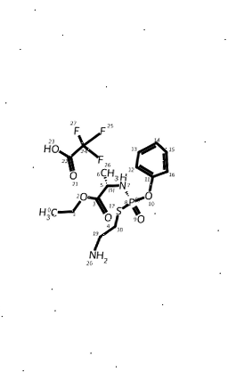 CCOC(=O)[C@H](C)N[P@@](=O)(Oc1ccccc1)SCCN.O=C(O)C(F)(F)F